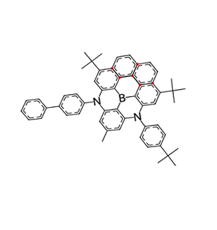 Cc1cc2c3c(c1)N(c1ccc(C(C)(C)C)cc1)c1cc(C(C)(C)C)cc(-c4ccccc4)c1B3c1c(-c3ccccc3)cc(C(C)(C)C)cc1N2c1ccc(-c2ccccc2)cc1